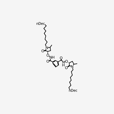 CCCCCCCCCCCCCCCCCCN1C(=O)[C@H](ONC(=O)c2cccc(C(=O)NO[C@@H]3CC(C)N(CCCCCCCCCCCCCCCCCC)C3=O)c2)CC1C